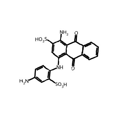 Nc1ccc(Nc2cc(S(=O)(=O)O)c(N)c3c2C(=O)c2ccccc2C3=O)c(S(=O)(=O)O)c1